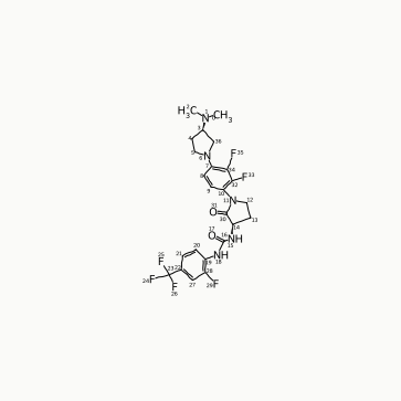 CN(C)[C@@H]1CCN(c2ccc(N3CC[C@@H](NC(=O)Nc4ccc(C(F)(F)F)cc4F)C3=O)c(F)c2F)C1